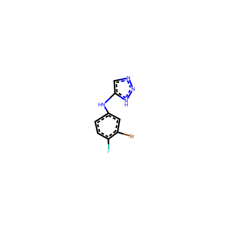 Fc1ccc(Nc2cnn[nH]2)cc1Br